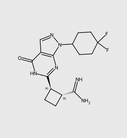 N=C(N)[C@@H]1CC[C@H]1c1nc2c(cnn2C2CCC(F)(F)CC2)c(=O)[nH]1